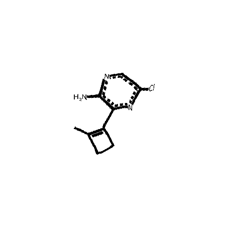 CC1=C(c2nc(Cl)cnc2N)CC1